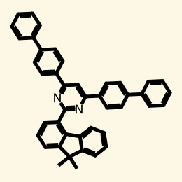 CC1(C)c2ccccc2-c2c(-c3nc(-c4ccc(-c5ccccc5)cc4)cc(-c4ccc(-c5ccccc5)cc4)n3)cccc21